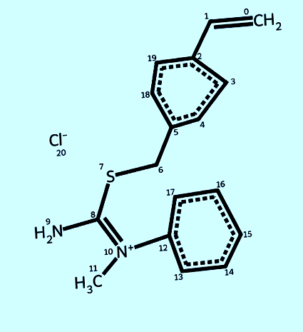 C=Cc1ccc(CSC(N)=[N+](C)c2ccccc2)cc1.[Cl-]